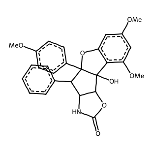 COc1ccc(C23Oc4cc(OC)cc(OC)c4C2(O)C2OC(=O)NC2C3c2ccccc2)cc1